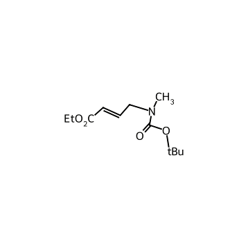 CCOC(=O)/C=C/CN(C)C(=O)OC(C)(C)C